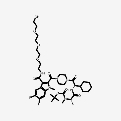 C[C@@H](C(=O)N[C@H](C(=O)N1CCN(C(=O)c2c(C(=O)NCCOCCOCCOCCO)c3cc(F)c(F)cc3n2C)CC1)C1CCCCC1)N(C)C(=O)OC(C)(C)C